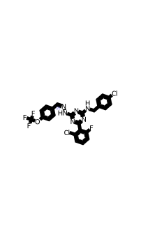 Fc1cccc(Cl)c1-c1nc(NCc2ccc(Cl)cc2)nc(N/N=C\c2ccc(OC(F)(F)F)cc2)n1